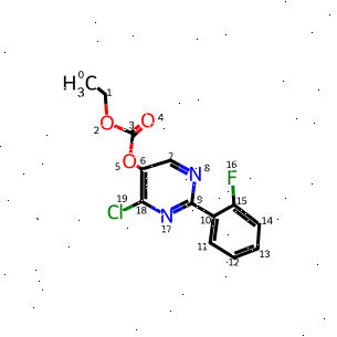 CCOC(=O)Oc1cnc(-c2ccccc2F)nc1Cl